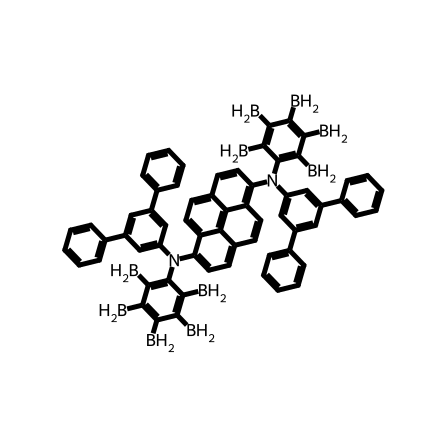 Bc1c(B)c(B)c(N(c2cc(-c3ccccc3)cc(-c3ccccc3)c2)c2ccc3ccc4c(N(c5cc(-c6ccccc6)cc(-c6ccccc6)c5)c5c(B)c(B)c(B)c(B)c5B)ccc5ccc2c3c54)c(B)c1B